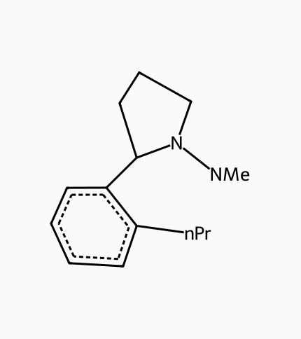 CCCc1ccccc1C1CCCN1NC